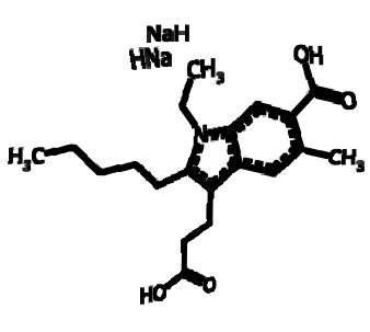 CCCCCc1c(CCC(=O)O)c2cc(C)c(C(=O)O)cc2n1CC.[NaH].[NaH]